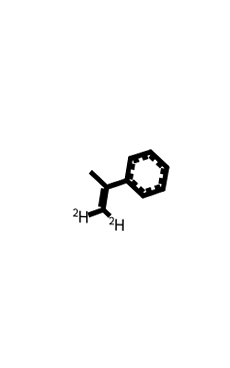 [2H]C([2H])=C(C)c1ccccc1